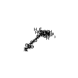 C[C@@H](O)C[C@]1(COCCOCCOCCOCCN2C(=O)CC(C3CCC3)C2=O)O[C@H](C)[C@@H](NC(=O)C(F)(F)F)[C@@H](O)[C@H]1O